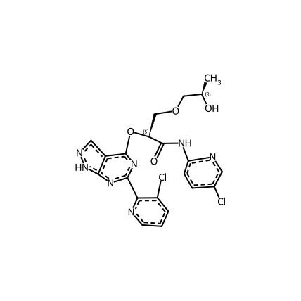 C[C@@H](O)COC[C@H](Oc1nc(-c2ncccc2Cl)nc2[nH]ncc12)C(=O)Nc1ccc(Cl)cn1